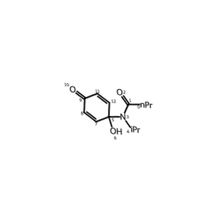 CCCC(=O)N(C(C)C)C1(O)C=CC(=O)C=C1